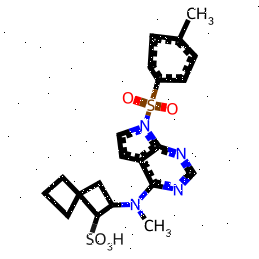 Cc1ccc(S(=O)(=O)n2ccc3c(N(C)C4CC5(CCC5)C4S(=O)(=O)O)ncnc32)cc1